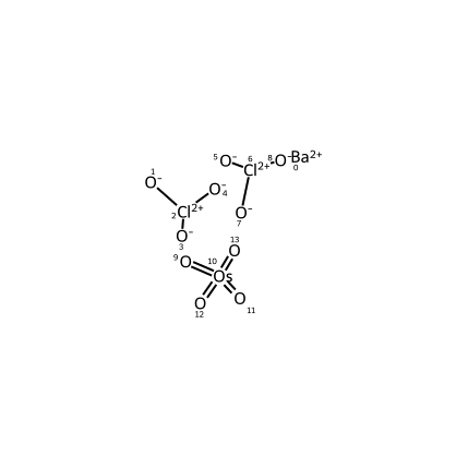 [Ba+2].[O-][Cl+2]([O-])[O-].[O-][Cl+2]([O-])[O-].[O]=[Os](=[O])(=[O])=[O]